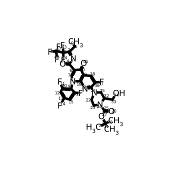 CCC(=NC(=O)c1cn(-c2c(F)cc(F)cc2F)c2nc(N3CCN(C(=O)OC(C)(C)C)C(CO)C3)c(F)cc2c1=O)C(F)(F)C(F)(F)F